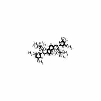 Cc1cc(C)nc(N(Cc2ccc3cc(CN(C(=O)OC(C)(C)C)c4cc(C)cc(C)n4)ccc3c2)C(=O)OC(C)(C)C)c1